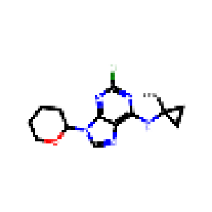 O=CC1(Nc2nc(Cl)nc3c2ncn3C2CCCCO2)CC1